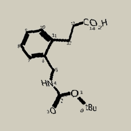 CC(C)(C)OC(=O)NCc1ccccc1CCC(=O)O